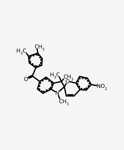 Cc1ccc(C(=O)c2ccc3c(c2)C(C)(C)C2(C=Cc4cc([N+](=O)[O-])ccc4O2)N3C)cc1C